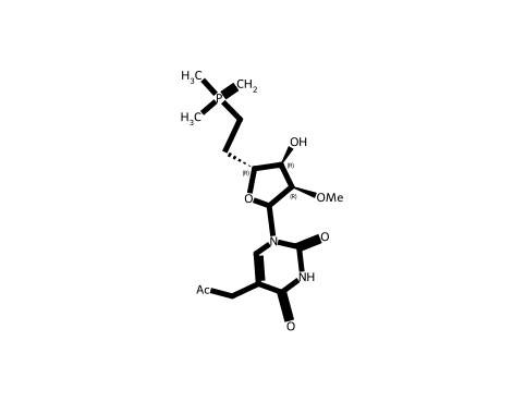 C=P(C)(C)CC[C@H]1OC(n2cc(CC(C)=O)c(=O)[nH]c2=O)[C@H](OC)[C@@H]1O